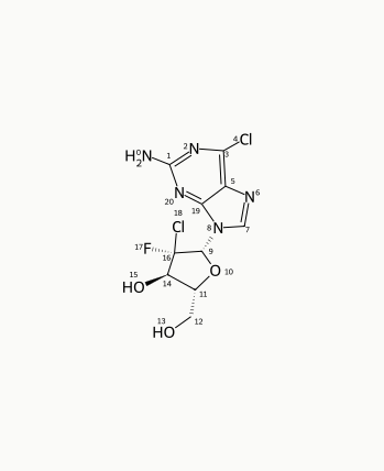 Nc1nc(Cl)c2ncn([C@@H]3O[C@H](CO)[C@@H](O)[C@@]3(F)Cl)c2n1